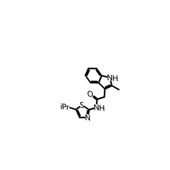 Cc1[nH]c2ccccc2c1CC(=O)Nc1ncc(C(C)C)s1